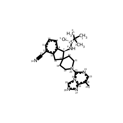 CC(C)(C)[S@@+]([O-])N[C@@H]1c2cccc(C#N)c2CC12CCN(c1ncc(I)c3nncn13)CC2